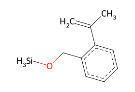 C=C(C)c1ccccc1CO[SiH3]